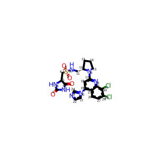 O=C1NC(=O)C(CS(=O)(=O)NC[C@@H]2CCCN2c2cc(-n3ccnc3)c3ccc(Cl)c(Cl)c3n2)N1